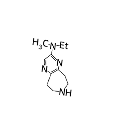 CCN(C)c1cnc2c(n1)CCNCC2